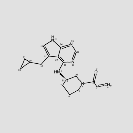 C=CC(=O)N1CCC[C@@H](Nc2ncnc3[nH]cc(CC4CC4)c23)C1